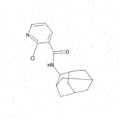 O=C(NC1C2CC3CC(C2)CC1C3)c1cccnc1Cl